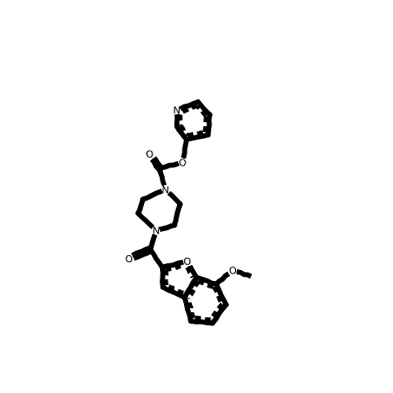 COc1cccc2cc(C(=O)N3CCN(C(=O)Oc4cccnc4)CC3)oc12